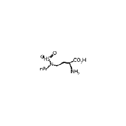 CCCN(CC[C@H](N)C(=O)O)[SH](=O)=O